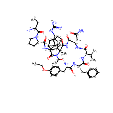 CCOc1ccc(C[C@H](N)C(=O)N[C@@H](Cc2ccccc2)C(=O)N[C@H](C(=O)N[C@@H](CC(N)=O)C(=O)NC(=O)[C@](C)(N(C(C)=O)C(=O)[C@H](CCCNC(=N)N)NC(=O)[C@@H]2CCCN2C(=O)C(N)CC)C23CC4CC(CC(C4)C2)C3)C(C)C)cc1